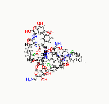 CN[C@@H](CC(C)C)C(=O)N[C@H]1C(=O)N[C@@H](CC(N)=O)C(=O)N[C@H]2C(=O)N[C@H]3C(=O)N[C@H](C(=O)N[C@@H](C(=O)O)c4cc(O)cc(O)c4-c4cc3ccc4O)[C@H](O)c3ccc(c(Cl)c3)Oc3cc2cc(c3OC2OC(CN)C(O)C(O)C2OC2CC(C)(NCc3ccc(-c4ccc(Cl)cc4)cc3)C(O)C(C)O2)Oc2ccc(cc2Cl)[C@H]1O